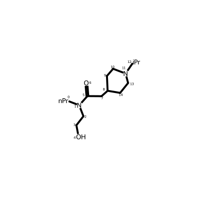 CCCN(CCO)C(=O)CC1CCN(C(C)C)CC1